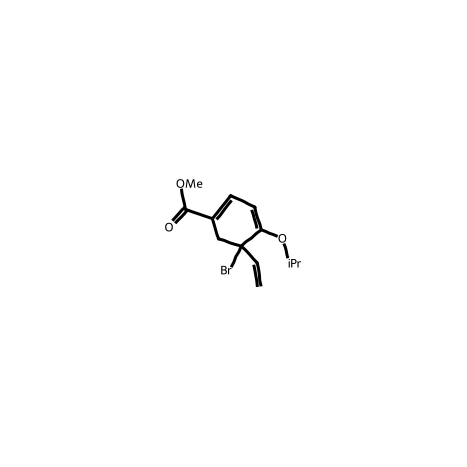 C=CC1(Br)CC(C(=O)OC)=CC=C1OC(C)C